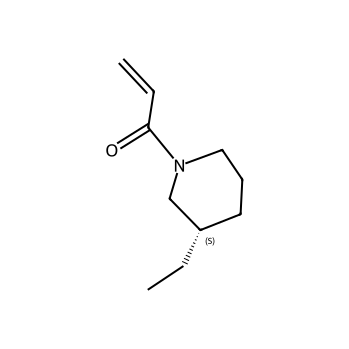 C=CC(=O)N1CCC[C@H](CC)C1